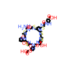 Cc1sc2nc1C(=O)N[C@@H]([C@H](O)c1ccccc1)c1nc(cs1)C(=O)N[C@@H](Cc1ccc(OCC(=O)O)cc1)C(=O)N1C[C@H](O)[C@H](C)[C@H]1c1nc(cs1)-c1nc(cs1)-c1nc(-c3nc(C(=O)N[C@H]4CC[C@H](C(=O)O)CC4)cs3)ccc1-c1nc(cs1)C(=O)N[C@H]2CC(N)=O